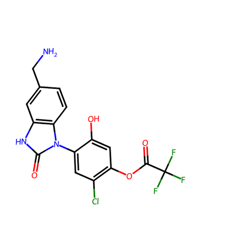 NCc1ccc2c(c1)[nH]c(=O)n2-c1cc(Cl)c(OC(=O)C(F)(F)F)cc1O